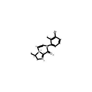 Cc1c(Br)cccc1N1C=CN2C(=NCC2C)C1=O